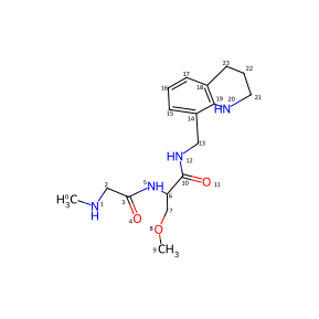 CNCC(=O)NC(COC)C(=O)NCc1cccc2c1NCCC2